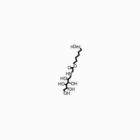 CCCCCCCCCCCCCCCCOC(=O)CNC[C@H](O)[C@@H](O)[C@H](O)[C@H](O)CO